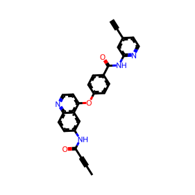 C#Cc1ccnc(NC(=O)c2ccc(Oc3ccnc4ccc(NC(=O)C#CC)cc34)cc2)c1